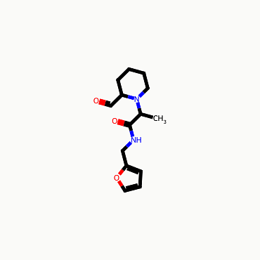 CC(C(=O)NCc1ccco1)N1CCCCC1C=O